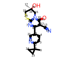 CC1(c2ccc(-c3nc4n(c(=O)c3C#N)C[C@](C)(O)CS4)cn2)CC1